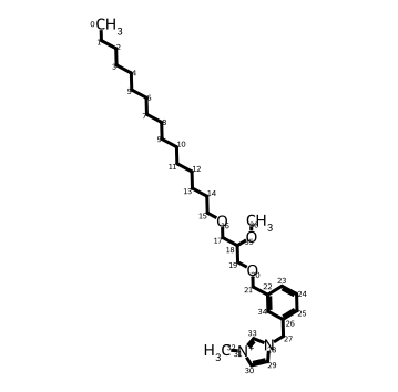 CCCCCCCCCCCCCCCCOCC(COCc1cccc(Cn2cc[n+](C)c2)c1)OC